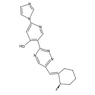 Oc1cc(-n2ccnc2)ncc1-c1ncc(/C=C2\CCCC[C@H]2F)nn1